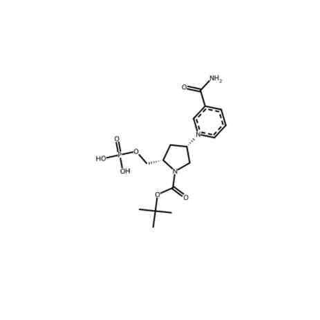 CC(C)(C)OC(=O)N1C[C@@H]([n+]2cccc(C(N)=O)c2)C[C@H]1COP(=O)(O)O